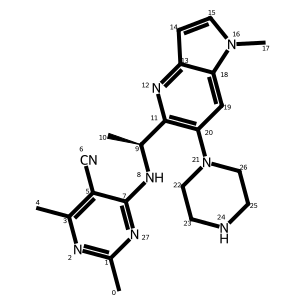 Cc1nc(C)c(C#N)c(N[C@@H](C)c2nc3ccn(C)c3cc2N2CCNCC2)n1